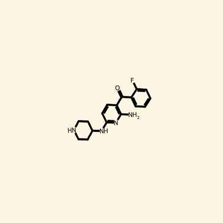 Nc1nc(NC2CCNCC2)ccc1C(=O)c1ccccc1F